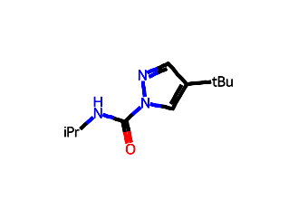 CC(C)NC(=O)n1cc(C(C)(C)C)cn1